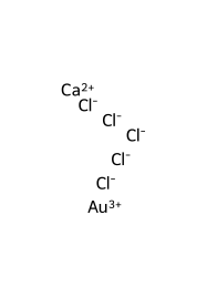 [Au+3].[Ca+2].[Cl-].[Cl-].[Cl-].[Cl-].[Cl-]